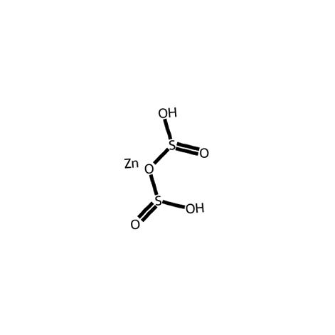 O=S(O)OS(=O)O.[Zn]